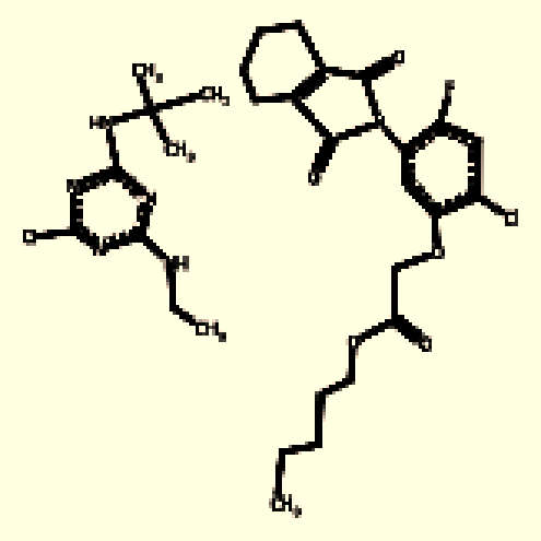 CCCCCOC(=O)COc1cc(N2C(=O)C3=C(CCCC3)C2=O)c(F)cc1Cl.CCNc1nc(Cl)nc(NC(C)(C)C)n1